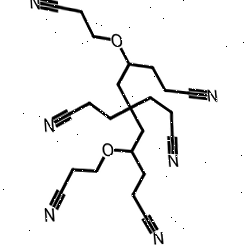 N#CCCOC(CCC#N)CC(CCC#N)(CCC#N)CC(CCC#N)OCCC#N